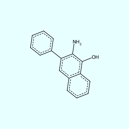 Nc1c(-c2ccccc2)cc2ccccc2c1O